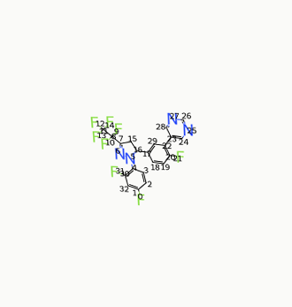 Fc1ccc(N2N=C(C(F)(F)C(F)(F)F)CC2c2ccc(F)c(-c3cncnc3)c2)c(F)c1